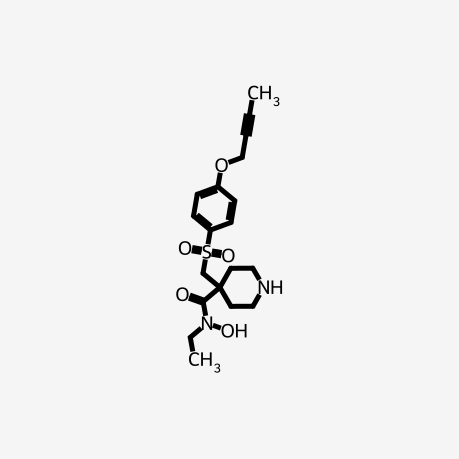 CC#CCOc1ccc(S(=O)(=O)CC2(C(=O)N(O)CC)CCNCC2)cc1